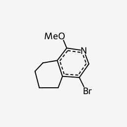 COc1ncc(Br)c2c1CCCC2